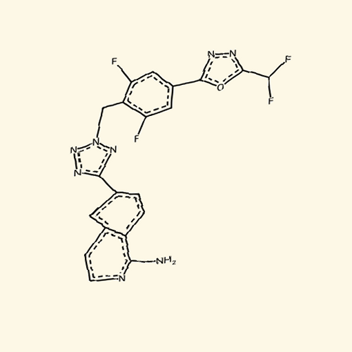 Nc1nccc2cc(-c3nnn(Cc4c(F)cc(-c5nnc(C(F)F)o5)cc4F)n3)ccc12